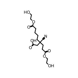 N#CC(CCCCC(=O)OCCO)(CCC(=O)OCCO)CC(=O)O